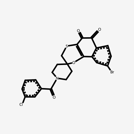 O=C1C(=O)c2ccc(Br)cc2C2=C1SCC1(CCN(C(=O)c3cccc(Cl)c3)CC1)O2